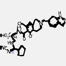 N#C/N=C(\NC[C@H](NC(=O)c1c(Cl)cc2c(c1Cl)CCN(Cc1ccc3cn[nH]c3c1)C2)C(=O)O)C1CCCC1